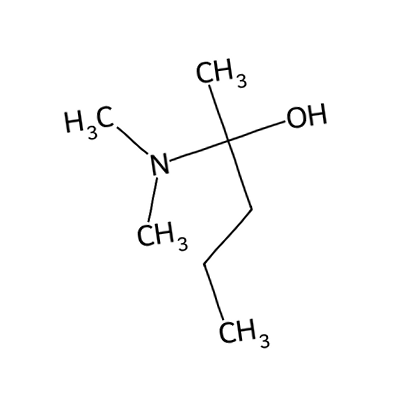 CCCC(C)(O)N(C)C